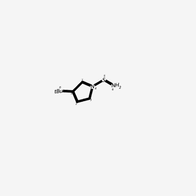 CC(C)(C)C1CCN(SN)C1